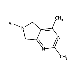 CC(=O)N1Cc2nc(C)nc(C)c2C1